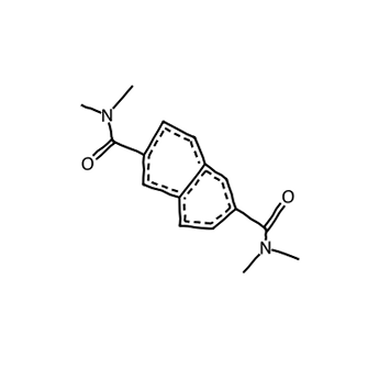 CN(C)C(=O)c1ccc2cc(C(=O)N(C)C)ccc2c1